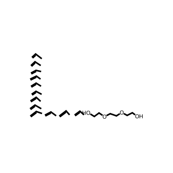 C=CC.C=CC.C=CC.C=CC.C=CC.C=CC.C=CC.C=CC.C=CC.C=CC.C=CC.C=CC.OCCOCCOCCO